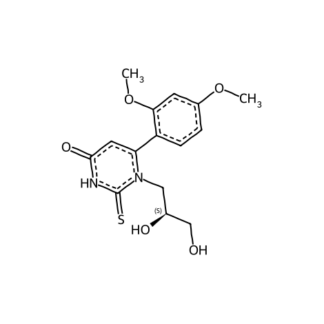 COc1ccc(-c2cc(=O)[nH]c(=S)n2C[C@H](O)CO)c(OC)c1